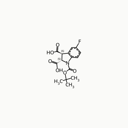 CC(C)(C)OC(=O)N1c2ccc(F)cc2[C@H](C(=O)O)[C@H]1C(=O)O